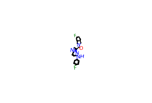 O=C(c1cnc2ccc(Nc3ccc(F)cc3)nn12)N1Cc2ccc(F)cc2C1